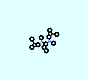 c1ccc(C2c3ccccc3-c3ccc(N(c4ccccc4)c4cc(N(c5ccccc5)c5ccc6c(c5)C(c5ccccc5)c5ccccc5-6)c5ccc6ccccc6c5c4)cc32)cc1